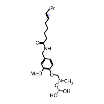 COc1cc(CNC(=O)CCCC/C=C/C(C)C)ccc1OCN(C)OP(O)O